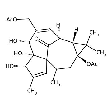 CC(=O)OCC1=C[C@@H]2C(=O)C3(C=C(C)[C@H](O)[C@@]3(O)[C@@H]1O)C(C)C[C@]1(OC(C)=O)[C@H]2C1(C)C